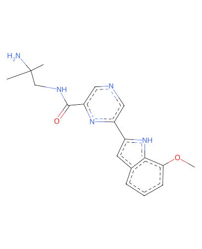 COc1cccc2cc(-c3cncc(C(=O)NCC(C)(C)N)n3)[nH]c12